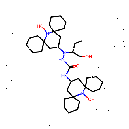 CCC(CO)N(NC(=O)NC1CC2(CCCCC2)N(O)C2(CCCCC2)C1)C1CC2(CCCCC2)N(O)C2(CCCCC2)C1